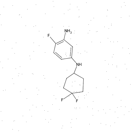 Nc1cc(NC2CCC(F)(F)CC2)ccc1F